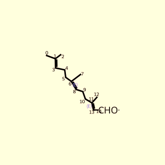 CC(C)=CCC/C(C)=C/CC/C(C)=C/[C]=O